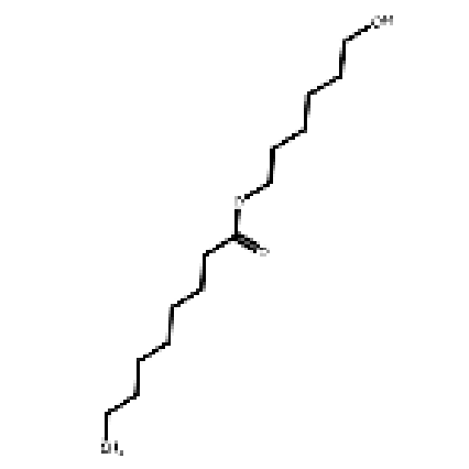 CCCCCCCCC(=O)OCCCCCCO